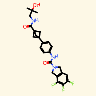 CC(C)(O)CNC(=O)C12CC(c3ccc(NC(=O)N4Cc5cc(F)c(F)c(F)c5C4)cc3)(C1)C2